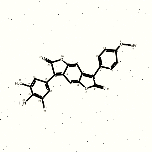 CCCOc1ccc(C2=c3cc4c(cc3OC2=O)=C(c2cc(C)c(N)c(CC)c2)C(=O)O4)cc1